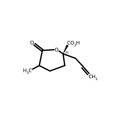 C=CC[C@]1(C(=O)O)CCC(C)C(=O)O1